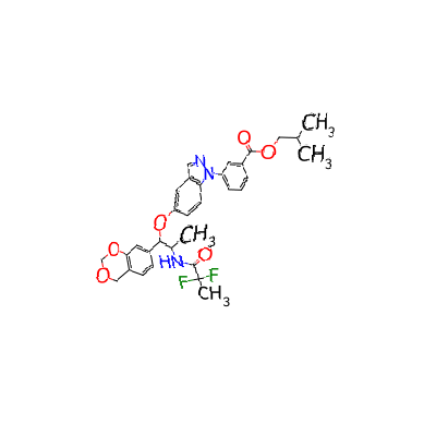 CC(C)COC(=O)c1cccc(-n2ncc3cc(OC(c4ccc5c(c4)OCOC5)C(C)NC(=O)C(C)(F)F)ccc32)c1